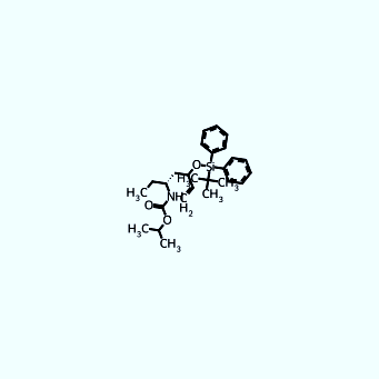 C=CC(C[C@@H](CC)NC(=O)OC(C)C)O[Si](c1ccccc1)(c1ccccc1)C(C)(C)C